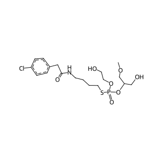 COCC(CO)OP(=O)(OCCO)SCCCCNC(=O)Cc1ccc(Cl)cc1